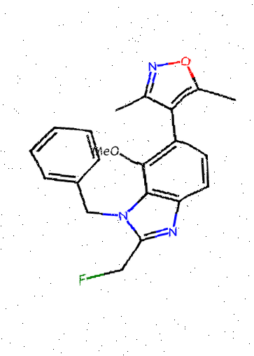 COc1c(-c2c(C)noc2C)ccc2nc(CF)n(Cc3ccccc3)c12